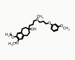 COc1cccc(OCCCN(C)CCCC2(O)CCc3cc(OC)c(OC)cc3CC2)c1